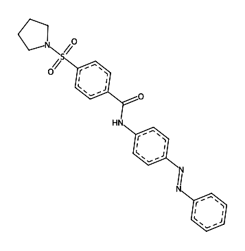 O=C(Nc1ccc(N=Nc2ccccc2)cc1)c1ccc(S(=O)(=O)N2CCCC2)cc1